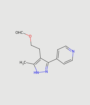 Cc1[nH]nc(-c2ccncc2)c1CCOC=O